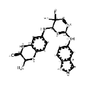 CC1Sc2ccc(NC3N=C(Nc4ccc5oncc5c4)N=CC3(F)F)cc2NC1=O